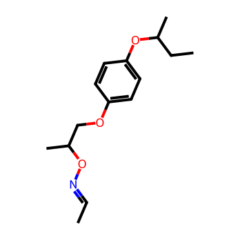 CC=NOC(C)COc1ccc(OC(C)CC)cc1